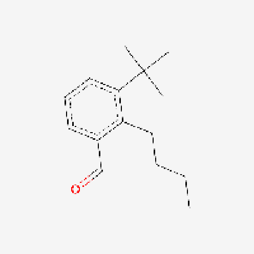 CCCCc1c(C=O)cccc1C(C)(C)C